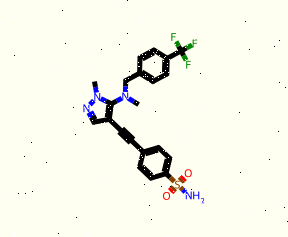 CN(Cc1ccc(C(F)(F)F)cc1)c1c(C#Cc2ccc(S(N)(=O)=O)cc2)cnn1C